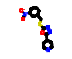 O=[N+]([O-])c1cccc(CSc2nnc(-c3ccncc3)o2)c1